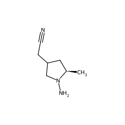 C[C@@H]1CC(CC#N)CN1N